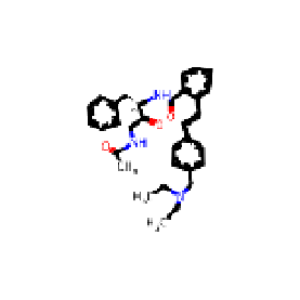 CCN(CC)Cc1ccc(C=Cc2ccccc2C(=O)N[C@@H](Cc2ccccc2)C(=O)CNC(C)=O)cc1